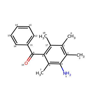 Cc1c(C)c(N)c(C)c(C(=O)c2ccccc2)c1C